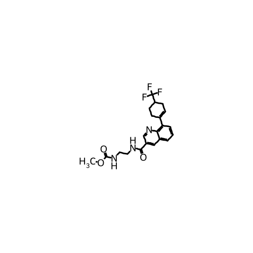 COC(=O)NCCNC(=O)c1cnc2c(C3=CCC(C(F)(F)F)CC3)cccc2c1